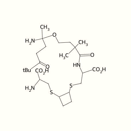 CC(N)(CCC(=O)C(C)(C)C)OCCC(C)(C)C(=O)NC(CSC1CCC1SCC(N)C(=O)O)C(=O)O